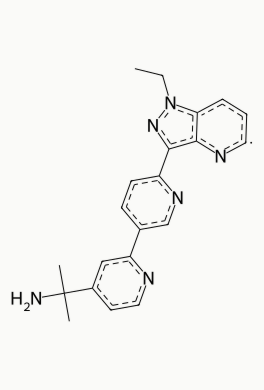 CCn1nc(-c2ccc(-c3cc(C(C)(C)N)ccn3)cn2)c2n[c]ccc21